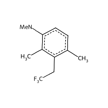 CNc1ccc(C)c(CC(F)(F)F)c1C